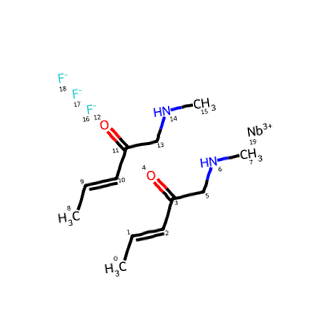 C/C=C/C(=O)CNC.C/C=C/C(=O)CNC.[F-].[F-].[F-].[Nb+3]